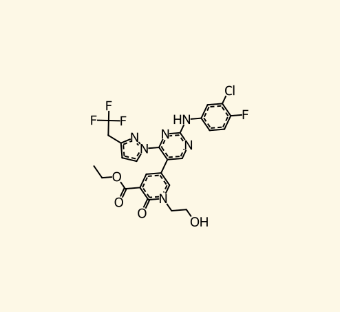 CCOC(=O)c1cc(-c2cnc(Nc3ccc(F)c(Cl)c3)nc2-n2ccc(CC(F)(F)F)n2)cn(CCO)c1=O